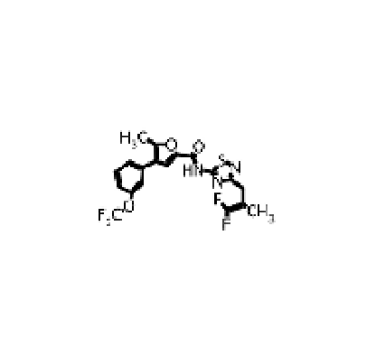 CC(Cc1nsc(NC(=O)c2cc(-c3cccc(OC(F)(F)F)c3)c(C)o2)n1)=C(F)F